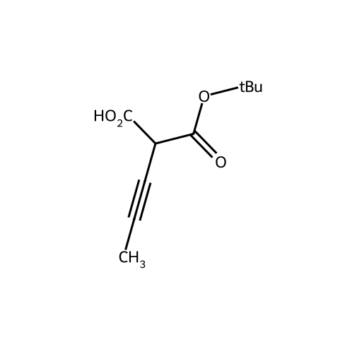 CC#CC(C(=O)O)C(=O)OC(C)(C)C